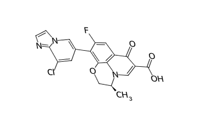 C[C@H]1COc2c(-c3cc(Cl)c4nccn4c3)c(F)cc3c(=O)c(C(=O)O)cn1c23